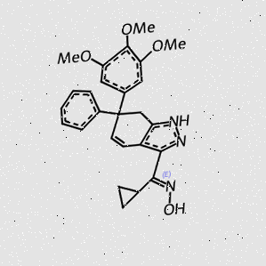 COc1cc(C2(c3ccccc3)C=Cc3c(/C(=N/O)C4CC4)n[nH]c3C2)cc(OC)c1OC